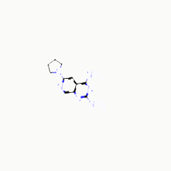 Nc1nc(N)c2cc(N3CCCC3)ncc2n1